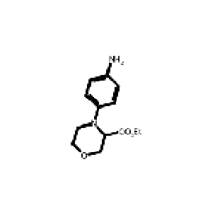 CCOC(=O)C1COCCN1c1ccc(N)cc1